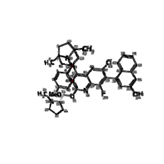 COc1ccc(CN2C3(C)CCC2(C)CN(c2nc(OC[C@@H]4CCCN4C)nc4c(F)c(-c5cc(O)cc6ccccc56)c(Cl)cc24)C3)cc1